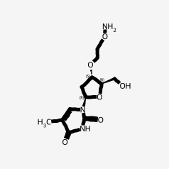 Cc1cn([C@H]2C[C@H](OCCON)[C@@H](CO)O2)c(=O)[nH]c1=O